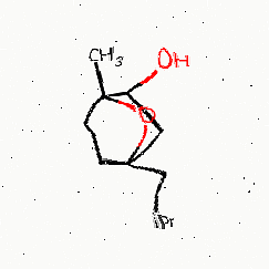 CC(C)CC12CCC(C)(O1)C(O)C2